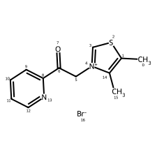 Cc1sc[n+](CC(=O)c2ccccn2)c1C.[Br-]